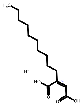 CCCCCCCCCC/C(=C/C(=O)O)C(=O)O.[H+]